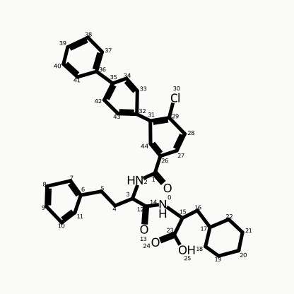 O=C(NC(CCc1ccccc1)C(=O)NC(CC1CCCCC1)C(=O)O)c1ccc(Cl)c(-c2ccc(-c3ccccc3)cc2)c1